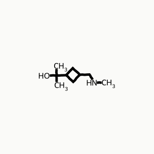 CNCC1CC(C(C)(C)O)C1